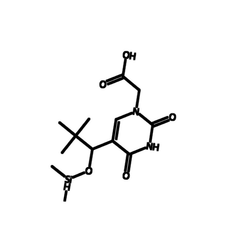 C[SiH](C)OC(c1cn(CC(=O)O)c(=O)[nH]c1=O)C(C)(C)C